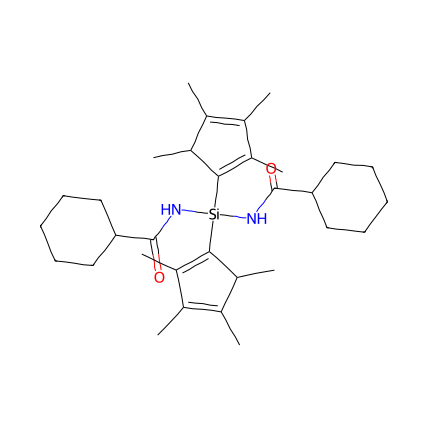 CC1=C(C)C(C)C([Si](NC(=O)C2CCCCC2)(NC(=O)C2CCCCC2)C2=C(C)C(C)=C(C)C2C)=C1C